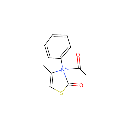 CC(=O)[N+]1(c2ccccc2)C(=O)SC=C1C